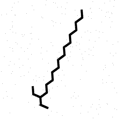 C[CH]C(CC)CCCCCCCCCCCCCC